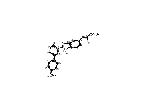 CC(=Cc1ccc2[nH]c(-c3cccc(-c4ccc(C(C)(C)C)cc4)n3)nc2c1)C(=O)O